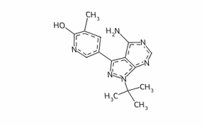 Cc1cc(-c2nn(C(C)(C)C)c3ncnc(N)c23)cnc1O